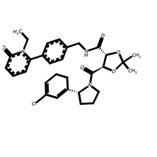 CCn1c(-c2ccc(CNC(=O)[C@@H]3OC(C)(C)O[C@H]3C(=O)N3CCC[C@@H]3C3=CC(Cl)=CCC3)cc2)cccc1=O